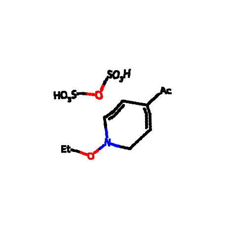 CCON1C=CC(C(C)=O)=CC1.O=S(=O)(O)OS(=O)(=O)O